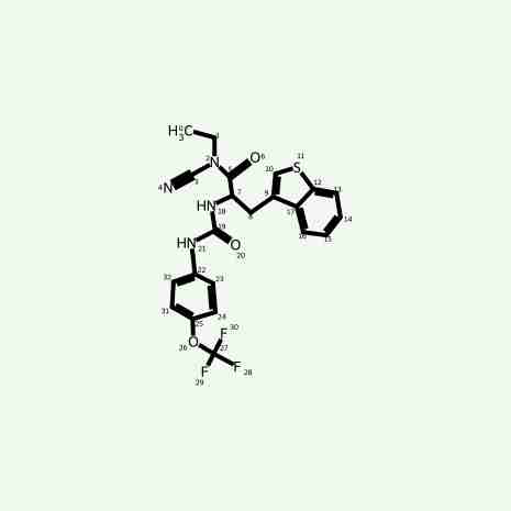 CCN(C#N)C(=O)C(Cc1csc2ccccc12)NC(=O)Nc1ccc(OC(F)(F)F)cc1